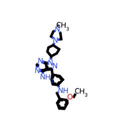 CCOc1ccccc1CNc1ccc(-c2nn(C3CCC(N4CCN(C)CC4)CC3)c3ncnc(N)c23)cc1